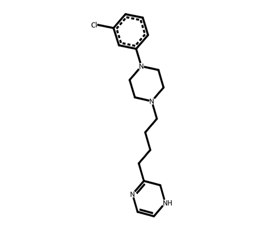 Clc1cccc(N2CCN(CCCCC3=NC=CNC3)CC2)c1